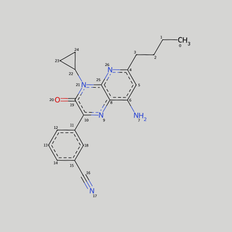 CCCCc1cc(N)c2nc(-c3cccc(C#N)c3)c(=O)n(C3CC3)c2n1